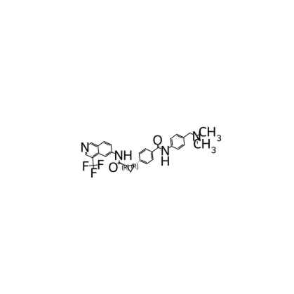 CN(C)Cc1ccc(NC(=O)c2ccc([C@@H]3C[C@H]3C(=O)Nc3ccc4cncc(C(F)(F)F)c4c3)cc2)cc1